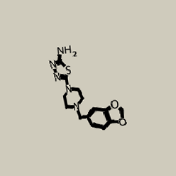 Nc1nnc(N2CCN(Cc3ccc4c(c3)OCO4)CC2)s1